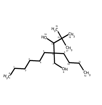 CCCCCCC(CO)(CCCC)C(O)C(C)(C)C